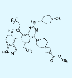 C=Cc1cc2c(N3CCC4(CC3)CN(C(=O)OC(C)(C)C)C4)nc(NC3CCN(C)CC3)nc2c(OCC(F)(F)F)c1-c1c(C)ccc2[nH]ncc12